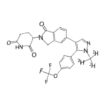 [2H]C([2H])([2H])n1ncc(-c2ccc3c(c2)CN(C2CCC(=O)NC2=O)C3=O)c1-c1ccc(OC(F)(F)F)cc1